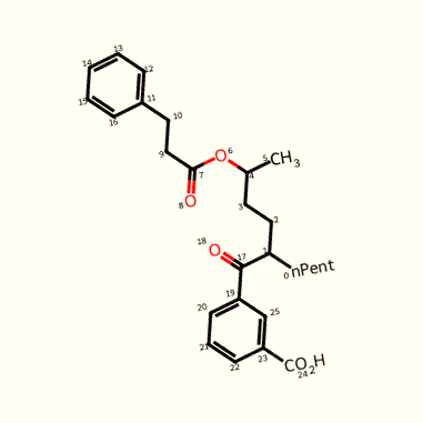 CCCCCC(CCC(C)OC(=O)CCc1ccccc1)C(=O)c1cccc(C(=O)O)c1